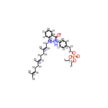 CCOP(=O)(OCC)OCCc1ccc(NC(=O)c2ccccc2NC/C=C(\C)CC/C=C(\C)CCC=C(C)C)cc1